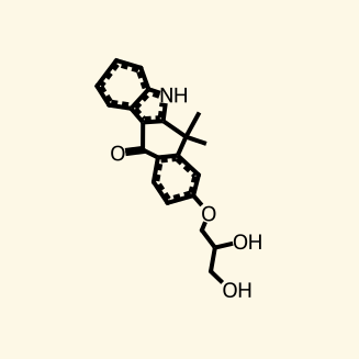 CC1(C)c2cc(OCC(O)CO)ccc2C(=O)c2c1[nH]c1ccccc21